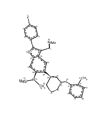 CNCc1c(-c2ccc(F)cc2)oc2cc(N(C)SC)c([C@@H]3CCCN(Sc4ccccc4C)C3)cc12